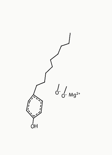 CCCCCCCCCc1ccc(O)cc1.C[O-].C[O-].[Mg+2]